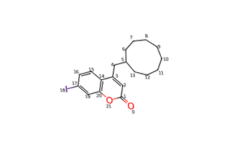 O=c1cc(CC2CCCCCCCC2)c2ccc(I)cc2o1